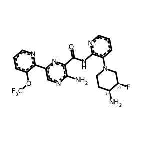 Nc1ncc(-c2ncccc2OC(F)(F)F)nc1C(=O)Nc1ncccc1N1CC[C@H](N)[C@H](F)C1